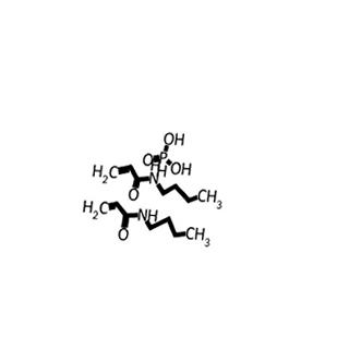 C=CC(=O)NCCCC.C=CC(=O)NCCCC.O=[PH](O)O